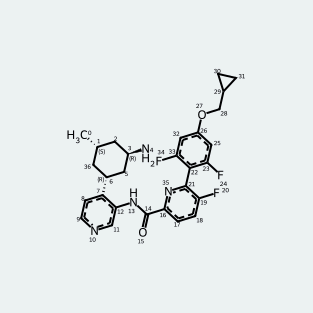 C[C@@H]1C[C@@H](N)C[C@H](c2ccncc2NC(=O)c2ccc(F)c(-c3c(F)cc(OCC4CC4)cc3F)n2)C1